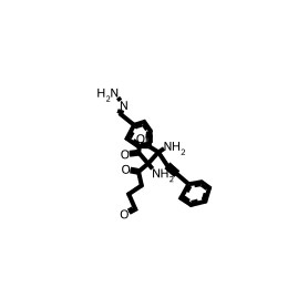 NN=Cc1ccc(C(N)(C#Cc2ccccc2)C(N)(C(=O)O)C(=O)CCC=O)cc1